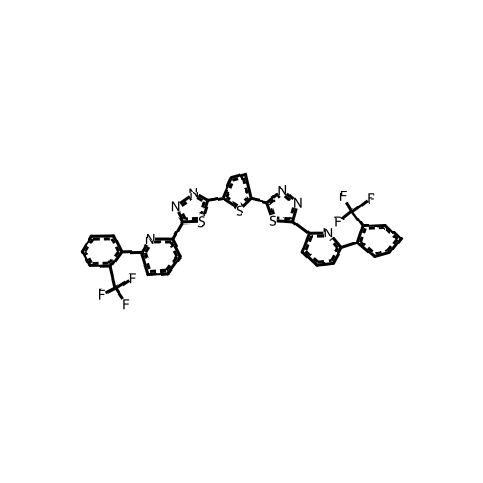 FC(F)(F)c1ccccc1-c1cccc(-c2nnc(-c3ccc(-c4nnc(-c5cccc(-c6ccccc6C(F)(F)F)n5)s4)s3)s2)n1